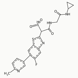 Cc1ccc(-c2cc3sc(C(C(=O)NCC(=O)NC4CC4)[SH](=O)=O)nc3cc2F)cn1